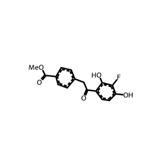 COC(=O)c1ccc(CC(=O)c2ccc(O)c(F)c2O)cc1